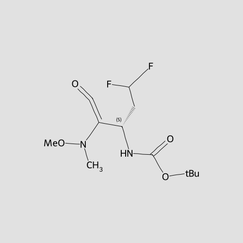 CON(C)C(=C=O)[C@H](CC(F)F)NC(=O)OC(C)(C)C